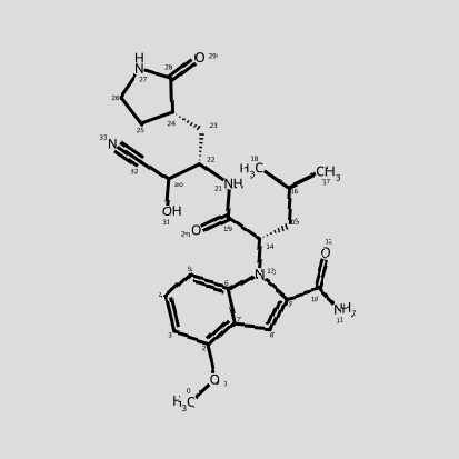 COc1cccc2c1cc(C(N)=O)n2[C@@H](CC(C)C)C(=O)N[C@@H](C[C@@H]1CCNC1=O)C(O)C#N